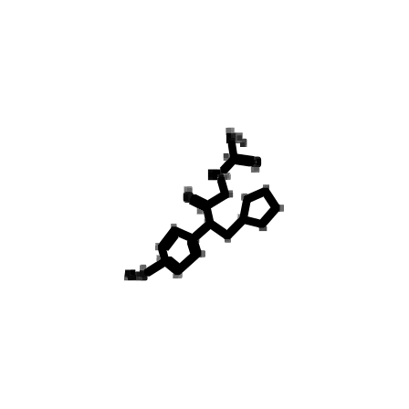 CSc1ccc(C(CC2CCCC2)C(=O)CNC(N)=O)cc1